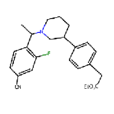 CCOC(=O)Cc1ccc(C2CCCN(C(C)c3ccc(C#N)cc3F)C2)cc1